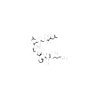 CC(C)C[C@H](NC(=O)CNC(=O)[C@@H](N)CC(C)C)C(=O)N[C@@H](C)C(=O)NCC(=O)N1CCC[C@H]1C(=O)N[C@@H](CCCCN)C(=O)O